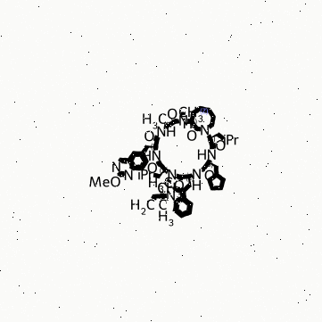 C=CC(C)(C)n1cc(C[C@@H]2NC(=O)[C@H](CC3CCCC3)NC(=O)[C@H](CC(C)C)N3CC/C=C\C[C@@H](C3=O)N(C)C(=O)[C@H](C)NC(=O)[C@H](Cc3ccc4nc(OC)ncc4c3)NC(=O)[C@H](CC(C)C)N(C)C2=O)c2ccccc21